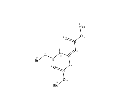 CC(C)(C)OC(=O)/C=C(/CC(=O)OC(C)(C)C)NCCBr